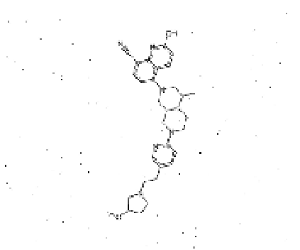 COC1CCN(CCc2ccc(N3CCN4C(C)CN(c5ccc(C#N)c6nc(O)ccc56)CC4C3)nc2)C1